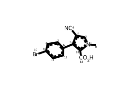 Cn1cc(C#N)c(-c2ccc(Br)cc2)c1C(=O)O